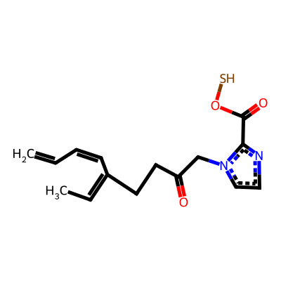 C=C/C=C\C(=C/C)CCC(=O)Cn1ccnc1C(=O)OS